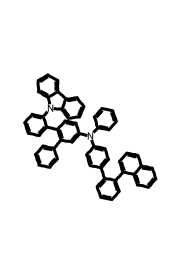 c1ccc(-c2cc(N(c3ccccc3)c3ccc(-c4ccccc4-c4cccc5ccccc45)cc3)ccc2-c2ccccc2-n2c3ccccc3c3ccccc32)cc1